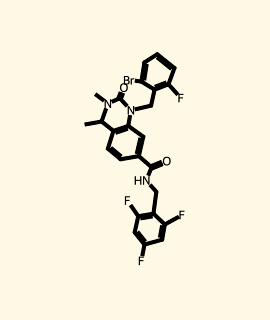 CC1c2ccc(C(=O)NCc3c(F)cc(F)cc3F)cc2N(Cc2c(F)cccc2Br)C(=O)N1C